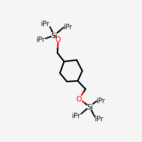 CC(C)[Si](OCC1CCC(CO[Si](C(C)C)(C(C)C)C(C)C)CC1)(C(C)C)C(C)C